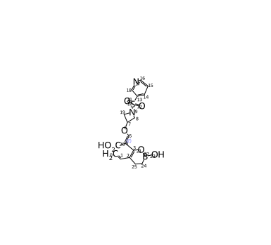 C=CC1=C(/C(=C/OC2CN(S(=O)(=O)c3cccnc3)C2)C(=O)O)OB(O)CC1